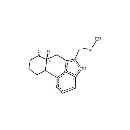 OSCc1[nH]c2cccc3c2c1C[C@H]1NCCCC31